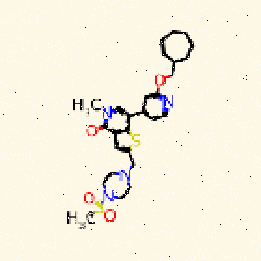 Cn1cc(-c2ccnc(OCC3CCCCCC3)c2)c2sc(CN3CCN(S(C)(=O)=O)CC3)cc2c1=O